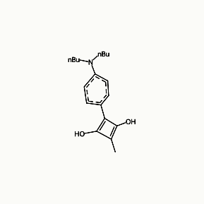 CCCCN(CCCC)c1ccc(C2=C(O)C(C)=C2O)cc1